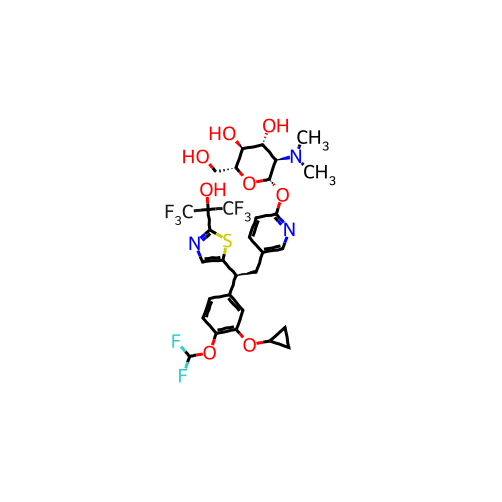 CN(C)[C@H]1[C@H](Oc2ccc(C[C@@H](c3ccc(OC(F)F)c(OC4CC4)c3)c3cnc(C(O)(C(F)(F)F)C(F)(F)F)s3)cn2)O[C@H](CO)[C@@H](O)[C@@H]1O